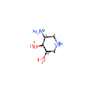 NC1CNCC(O)C1O